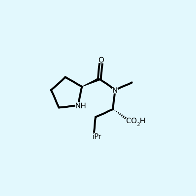 CC(C)C[C@@H](C(=O)O)N(C)C(=O)[C@@H]1CCCN1